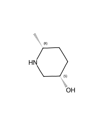 C[C@@H]1CC[C@H](O)CN1